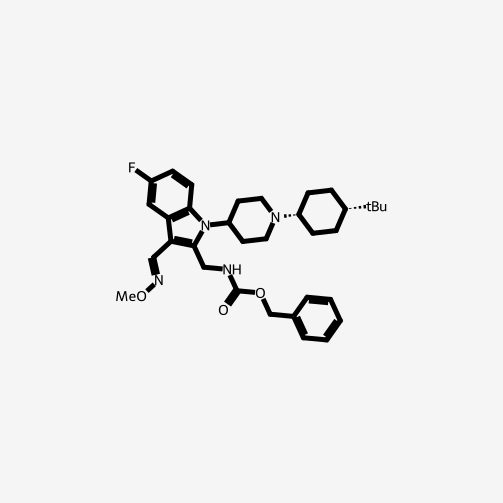 CON=Cc1c(CNC(=O)OCc2ccccc2)n(C2CCN([C@H]3CC[C@@H](C(C)(C)C)CC3)CC2)c2ccc(F)cc12